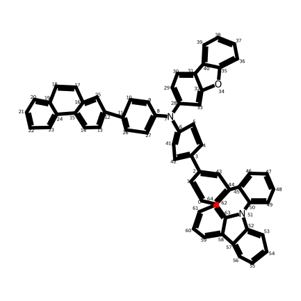 c1cc(-c2ccc(N(c3ccc(-c4ccc5c(ccc6ccccc65)c4)cc3)c3ccc4c(c3)oc3ccccc34)cc2)cc(-c2ccccc2-n2c3ccccc3c3ccccc32)c1